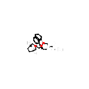 Cc1nc2ccccc2n1[C@H]1C[C@H]2CC[C@@H](C1)N2CCC1(c2ccccc2)CCN(C(=O)OC(C)(C)C)CC1